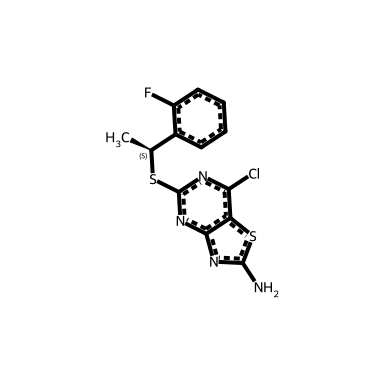 C[C@H](Sc1nc(Cl)c2sc(N)nc2n1)c1ccccc1F